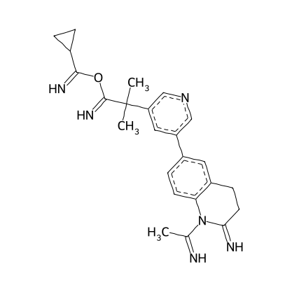 CC(=N)N1C(=N)CCc2cc(-c3cncc(C(C)(C)C(=N)OC(=N)C4CC4)c3)ccc21